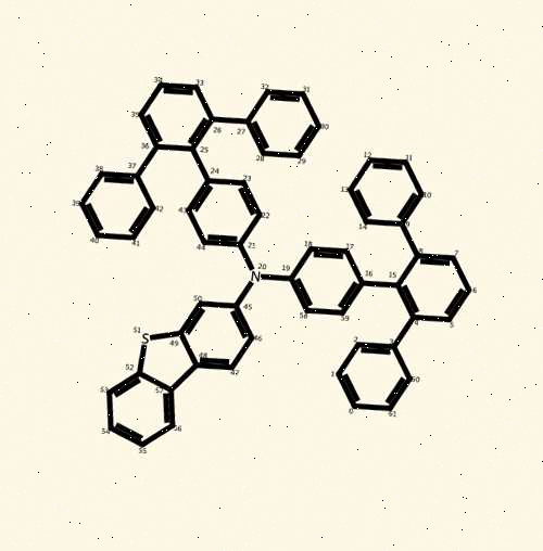 c1ccc(-c2cccc(-c3ccccc3)c2-c2ccc(N(c3ccc(-c4c(-c5ccccc5)cccc4-c4ccccc4)cc3)c3ccc4c(c3)sc3ccccc34)cc2)cc1